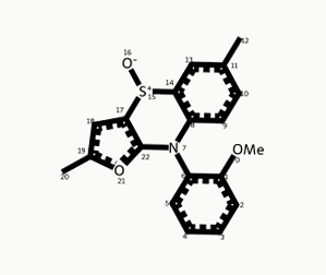 COc1ccccc1N1c2ccc(C)cc2[S+]([O-])c2cc(C)oc21